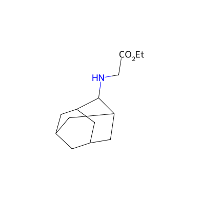 CCOC(=O)CNC1C2CC3CC(C2)CC1C3